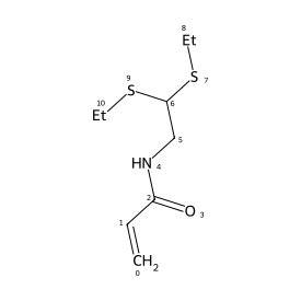 C=CC(=O)NCC(SCC)SCC